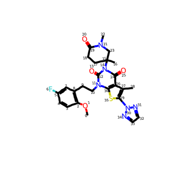 COc1ccc(F)cc1CCn1c(=O)n(C2(C)CCC(=O)N(C)C2)c(=O)c2c(C)c(-n3nccn3)sc21